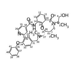 C[C@H]1CN([C@@H](C)CO)C(=O)c2cccc(NC(=O)c3ccncc3)c2O[C@H]1CN(C)Cc1ccc(Oc2ccccc2)cc1